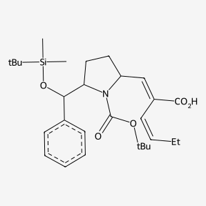 CC/C=C\C(=CC1CCC(C(O[Si](C)(C)C(C)(C)C)c2ccccc2)N1C(=O)OC(C)(C)C)C(=O)O